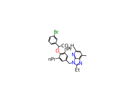 CCCc1cc(Cn2c(CC)nc3c(C)cc(C)nc32)cc(CCC)c1OC(C(=O)O)c1cccc(Br)c1